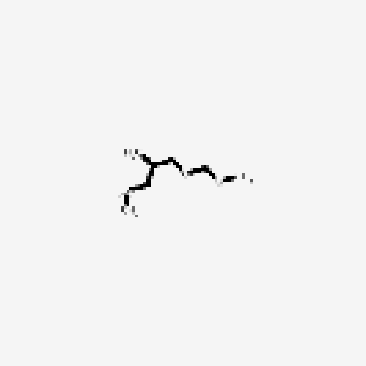 COCOCC(C)C[SiH2]C